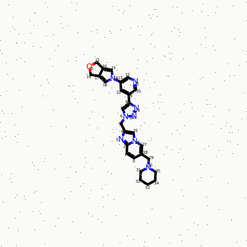 c1cc2nc(Cn3cc(-c4cncc(-n5cc6c(c5)COC6)c4)nn3)cn2cc1CN1CCCCC1